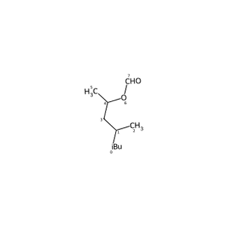 CCC(C)C(C)CC(C)OC=O